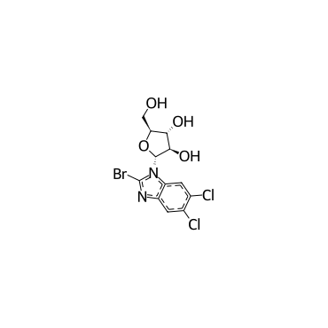 OC[C@@H]1O[C@@H](n2c(Br)nc3cc(Cl)c(Cl)cc32)[C@H](O)[C@H]1O